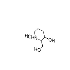 Cl.OC[C@H]1NCCC[C@H]1O